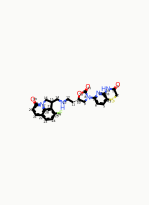 O=C1CSc2ccc(N3C[C@H](CCNCC4Cn5c(=O)ccc6ccc(F)c4c65)OC3=O)nc2N1